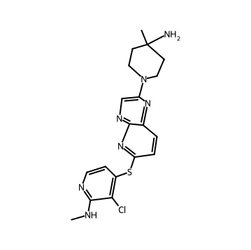 CNc1nccc(Sc2ccc3nc(N4CCC(C)(N)CC4)cnc3n2)c1Cl